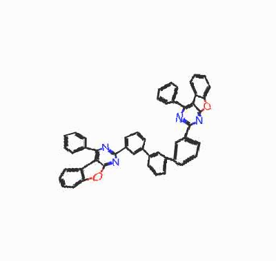 c1ccc(-c2nc(-c3cccc(-c4cccc(-c5cccc(-c6nc(-c7ccccc7)c7c(n6)oc6ccccc67)c5)c4)c3)nc3oc4ccccc4c23)cc1